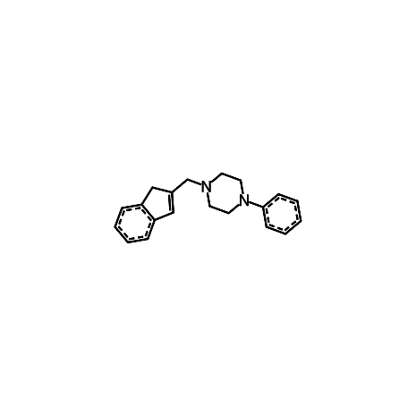 C1=C(CN2CCN(c3ccccc3)CC2)Cc2ccccc21